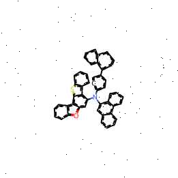 c1ccc2c(-c3ccc(N(c4cc5ccccc5c5ccccc45)c4cc5oc6ccccc6c5c5sc6ccccc6c45)cc3)cccc2c1